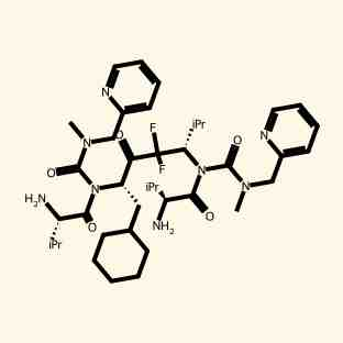 CC(C)[C@H](N)C(=O)N(C(=O)N(C)Cc1ccccn1)[C@@H](C(C)C)C(F)(F)C(=O)[C@H](CC1CCCCC1)N(C(=O)[C@@H](N)C(C)C)C(=O)N(C)Cc1ccccn1